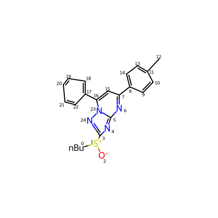 CCCC[S+]([O-])c1nc2nc(-c3ccc(C)cc3)cc(-c3ccccc3)n2n1